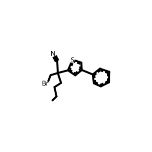 CCCCC(C#N)(CBr)c1cc(-c2ccccc2)cs1